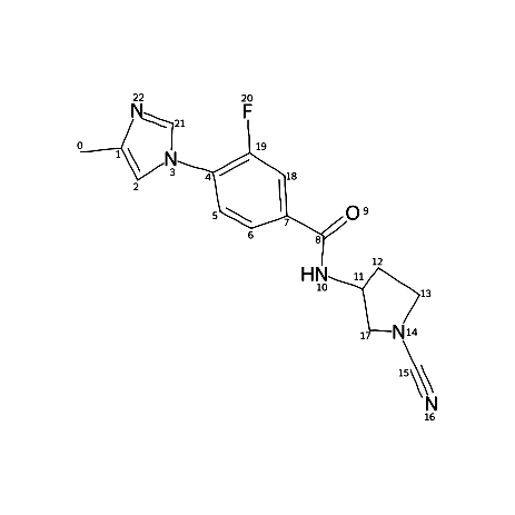 Cc1cn(-c2ccc(C(=O)NC3CCN(C#N)C3)cc2F)cn1